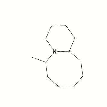 CC1CCCCCC2CCCCN12